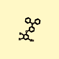 CC(C)(C)c1cc(Br)c(Br)c(Oc2cccc(N(c3ccccc3)c3ccccc3)c2)c1